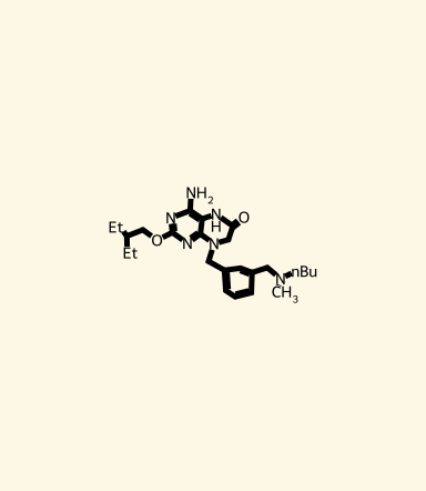 CCCCN(C)Cc1cccc(CN2CC(=O)Nc3c(N)nc(OCC(CC)CC)nc32)c1